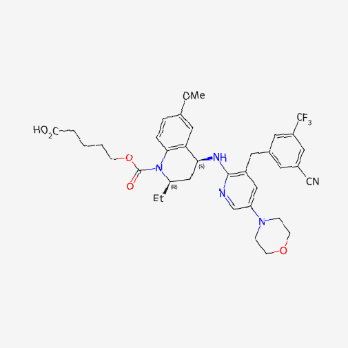 CC[C@@H]1C[C@H](Nc2ncc(N3CCOCC3)cc2Cc2cc(C#N)cc(C(F)(F)F)c2)c2cc(OC)ccc2N1C(=O)OCCCCC(=O)O